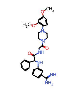 COc1ccc(N2CCN(C(=O)CNC(=O)C(Nc3cccc(C(=N)N)c3)c3ccccc3)CC2)c(OC)c1